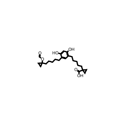 O=COC1(CCCCCc2cc(CCCCCC3(C(=O)O)CC3)c(O)cc2O)CC1